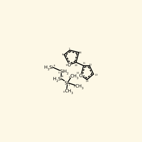 C[Si](C)(C)[SiH2][SiH2][SiH3].c1coc(-c2ccco2)c1